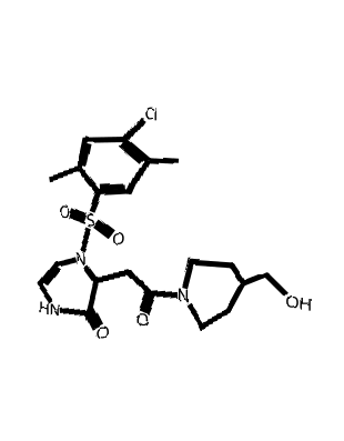 Cc1cc(S(=O)(=O)N2C=CNC(=O)C2CC(=O)N2CCC(CO)CC2)c(C)cc1Cl